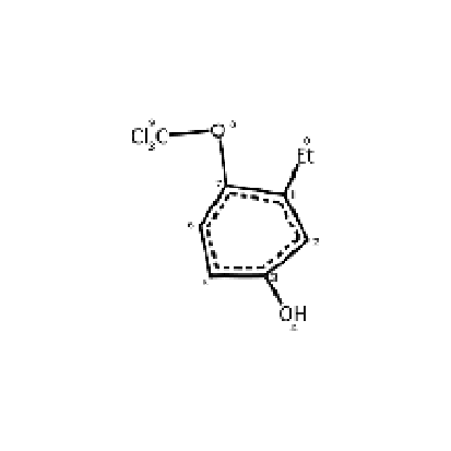 CCc1cc(O)ccc1OC(Cl)(Cl)Cl